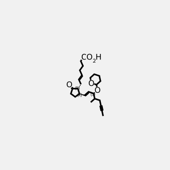 CC#CCC(C)[C@@H](C=C[C@H]1CCC(=O)[C@@H]1CC=CCCCC(=O)O)OC1CCCCO1